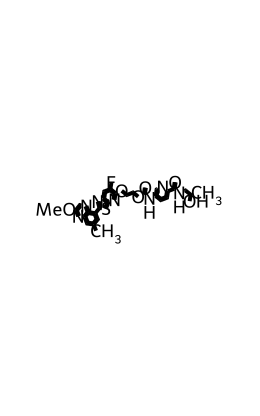 COc1cnc2c(-c3nc4cc(F)c(OCCOC(=O)Nc5ccc(C(=O)NC[C@H](C)O)nc5)nc4s3)cc(C)cc2n1